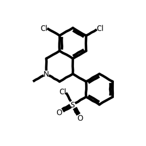 CN1Cc2c(Cl)cc(Cl)cc2C(c2ccccc2S(=O)(=O)Cl)C1